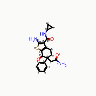 NC(=O)CC1(c2ccccc2)CCc2c(sc(N)c2C(=O)NC2CC2)C1=O